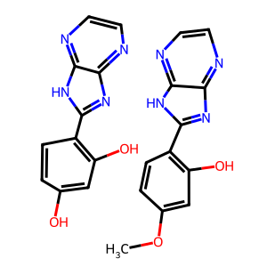 COc1ccc(-c2nc3nccnc3[nH]2)c(O)c1.Oc1ccc(-c2nc3nccnc3[nH]2)c(O)c1